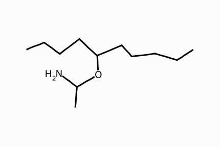 CCCCCC(CCCC)OC(C)N